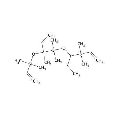 C=C[Si](C)(C)O[C@@](C)(CC)[Si](C)(C)OC(CC)[Si](C)(C)C=C